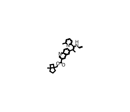 C=CN/C(=C(\C)c1ccc2ncc(C(=O)OCC34CCCC3(C)CC4)cc2c1)c1cccc(C)n1